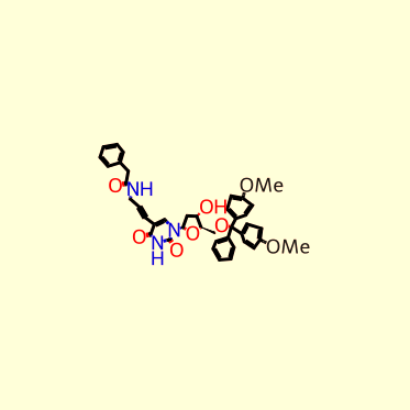 COc1ccc(C(OC[C@H]2O[C@@H](n3cc(C#CCNC(=O)Cc4ccccc4)c(=O)[nH]c3=O)C[C@H]2O)(c2ccccc2)c2ccc(OC)cc2)cc1